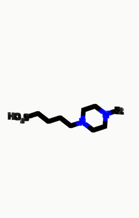 CCN1CCN(CCCCS(=O)(=O)O)CC1